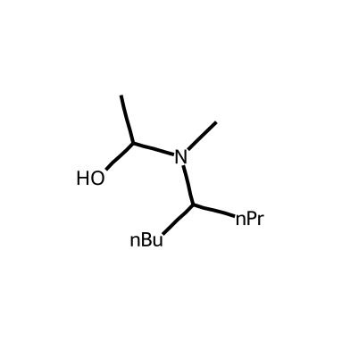 CCCCC(CCC)N(C)C(C)O